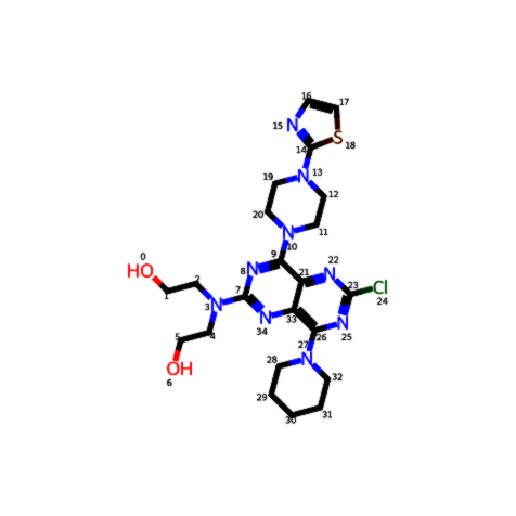 OCCN(CCO)c1nc(N2CCN(c3nccs3)CC2)c2nc(Cl)nc(N3CCCCC3)c2n1